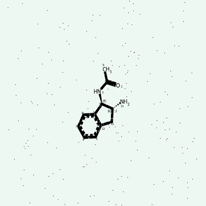 CC(=O)N[C@@H]1c2ccccc2C[C@H]1N